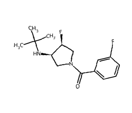 CC(C)(C)N[C@@H]1CN(C(=O)c2cccc(F)c2)C[C@@H]1F